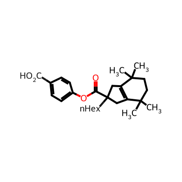 CCCCCCC1(C(=O)Oc2ccc(C(=O)O)cc2)CC2=C(C1)C(C)(C)CCC2(C)C